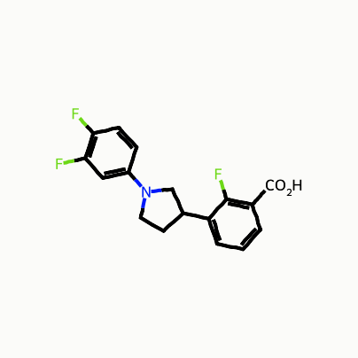 O=C(O)c1cccc(C2CCN(c3ccc(F)c(F)c3)C2)c1F